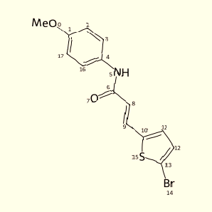 COc1ccc(NC(=O)/C=C/c2ccc(Br)s2)cc1